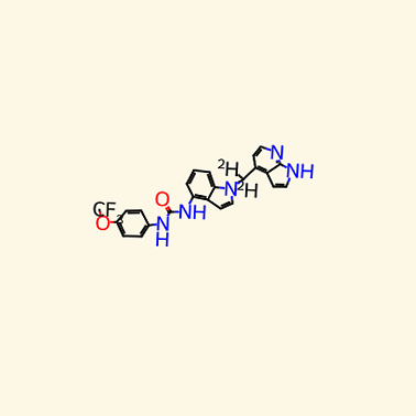 [2H]C([2H])(c1ccnc2[nH]ccc12)n1ccc2c(NC(=O)Nc3ccc(OC(F)(F)F)cc3)cccc21